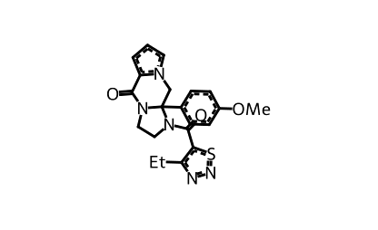 CCc1nnsc1C(=O)N1CCN2C(=O)c3cccn3CC12c1ccc(OC)cc1